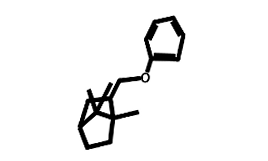 CC1(C)C2CCC1(C)C(COc1ccccc1)C2